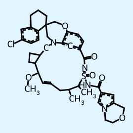 COC1/C=C/CC(C)C(C)S(=O)(NC(=O)c2cc3n(c2)CCOC3)=NC(=O)c2ccc3c(c2)N(CC2CCC21)CC1(CCCc2cc(Cl)ccc21)CO3